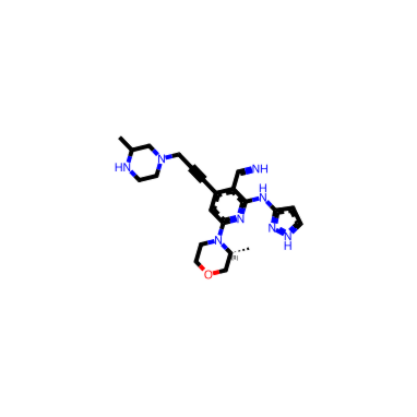 CC1CN(CC#Cc2cc(N3CCOC[C@H]3C)nc(Nc3cc[nH]n3)c2C=N)CCN1